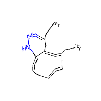 CC(C)c1cccc2[nH]nc(C(C)C)c12